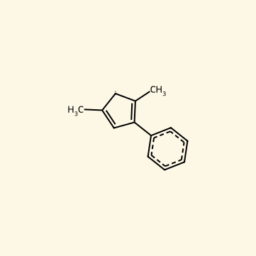 CC1=CC(c2ccccc2)=C(C)[CH]1